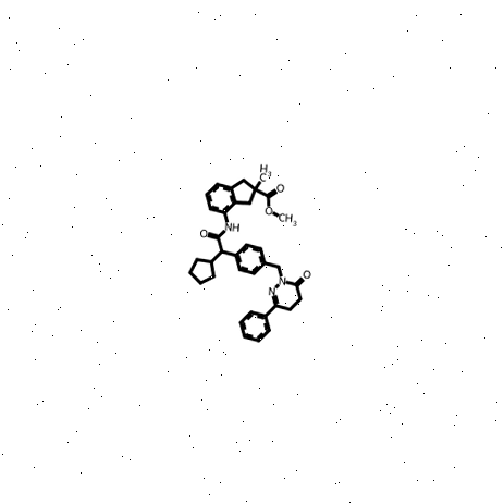 COC(=O)C1(C)Cc2cccc(NC(=O)C(c3ccc(CN4N=C(c5ccccc5)CCC4=O)cc3)C3CCCC3)c2C1